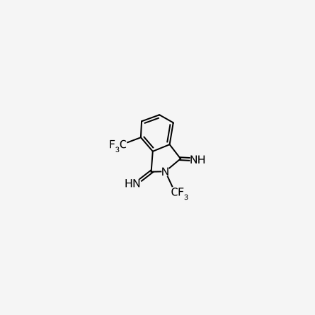 N=C1c2cccc(C(F)(F)F)c2C(=N)N1C(F)(F)F